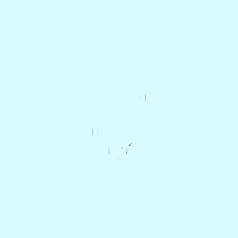 C[C@@H]1OC2C[C@]3(C[C@H]2O1)[C@H]1CCC(C1)[C@H]3N